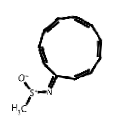 C[S+]([O-])N=c1cccccccccc1